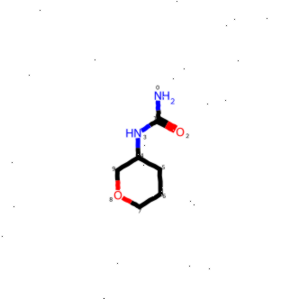 NC(=O)NC1CCCOC1